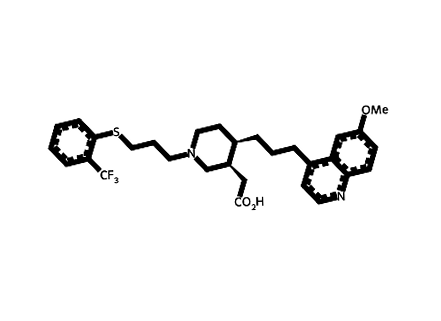 COc1ccc2nccc(CCC[C@@H]3CCN(CCCSc4ccccc4C(F)(F)F)C[C@@H]3CC(=O)O)c2c1